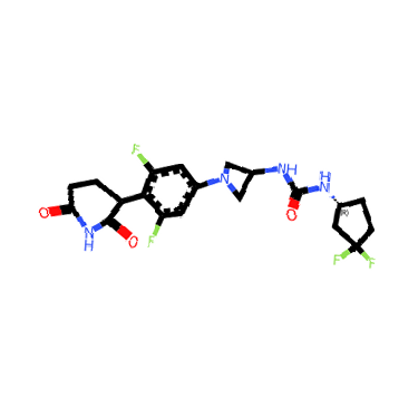 O=C1CCC(c2c(F)cc(N3CC(NC(=O)N[C@@H]4CCC(F)(F)C4)C3)cc2F)C(=O)N1